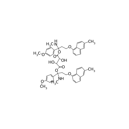 CNC(CCOc1cccc2cc(C)ccc12)(OC(=O)C(O)C(O)C(=O)OC(CCOc1cccc2cc(C)ccc12)(NC)c1ccc(OC)cc1)c1ccc(OC)cc1